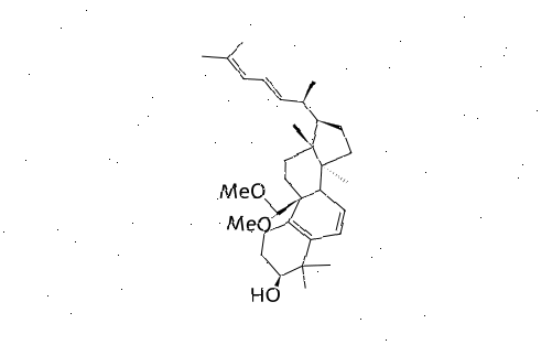 COC(OC)[C@@]12CC[C@]3(C)[C@@H]([C@H](C)/C=C/C=C(C)C)CC[C@@]3(C)C1C=CC1=C2CC[C@H](O)C1(C)C